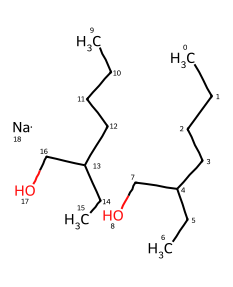 CCCCC(CC)CO.CCCCC(CC)CO.[Na]